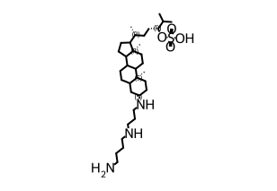 CC(C)[C@@H](CC[C@@H](C)C1CCC2C3CCC4C[C@@H](NCCCNCCCCN)CC[C@]4(C)C3CC[C@@]21C)OS(=O)(=O)O